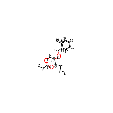 CCC[C@H]1O[C@@H](CC)OC[C@H]1OCc1ccccc1C